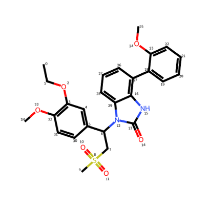 CCOc1cc(C(CS(C)(=O)=O)n2c(=O)[nH]c3c(-c4ccccc4OC)cccc32)ccc1OC